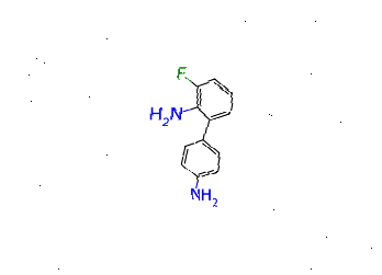 Nc1ccc(-c2cccc(F)c2N)cc1